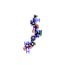 O=C1CCC(Nc2ccccc2CN2CCC(n3cc(NC(=O)c4coc(-c5ccnc(NCC6CC6)c5)n4)c(C(F)F)n3)CC2)C(=O)N1